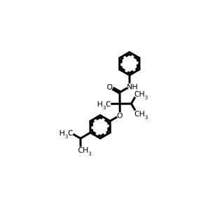 CC(C)c1ccc(OC(C)(C(=O)Nc2ccccc2)C(C)C)cc1